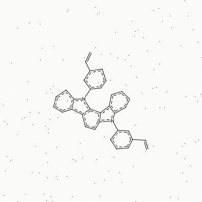 C=Cc1cccc(-n2c3ccccc3c3c2ccc2c4ccccc4n(-c4cccc(C=C)c4)c23)c1